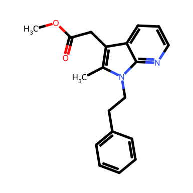 COC(=O)Cc1c(C)n(CCc2ccccc2)c2ncccc12